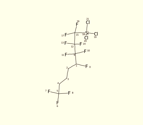 FC(CCCC(F)(F)F)C(F)(F)C(F)(F)C(F)(F)[Si](Cl)(Cl)Cl